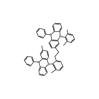 Cc1ccc2c(c1)N(c1ccccc1)c1ccccc1B2c1c(C)cccc1CCc1ccc2c(c1)N(c1c(C)cccc1C)c1ccccc1B2c1ccccc1